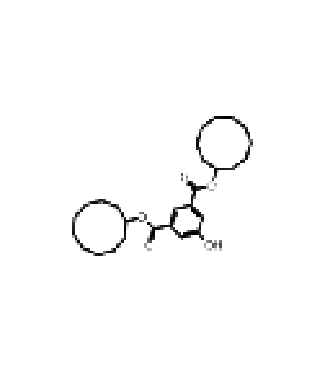 O=C(OC1CCCCCCCCC1)c1cc(O)cc(C(=O)OC2CCCCCCCCC2)c1